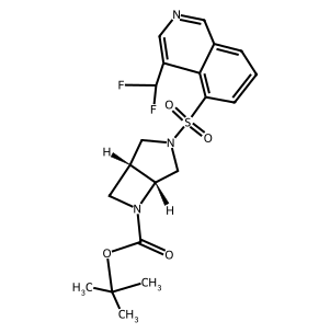 CC(C)(C)OC(=O)N1C[C@@H]2CN(S(=O)(=O)c3cccc4cncc(C(F)F)c34)C[C@@H]21